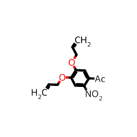 C=CCOc1cc(C(C)=O)c([N+](=O)[O-])cc1OCC=C